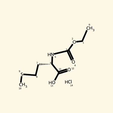 CCOC(=O)N[C@@H](CCSC)C(=O)O.Cl